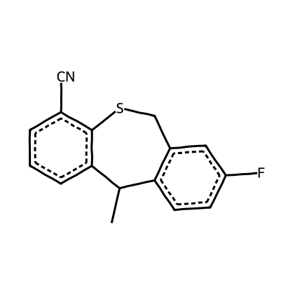 CC1c2ccc(F)cc2CSc2c(C#N)cccc21